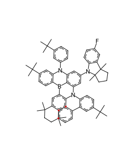 CC(C)(C)c1cccc(N2c3cc(C(C)(C)C)ccc3B3c4cc5c(cc4N(c4ccc(C(C)(C)C)cc4-c4ccccc4)c4cc(N6c7ccc(F)cc7C7(C)CCCC67C)cc2c43)C(C)(C)CCC5(C)C)c1